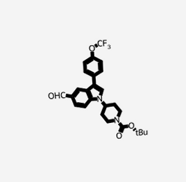 CC(C)(C)OC(=O)N1CCC(n2cc(-c3ccc(OC(F)(F)F)cc3)c3cc(C=O)ccc32)CC1